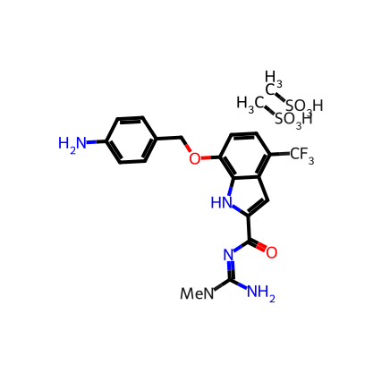 CNC(N)=NC(=O)c1cc2c(C(F)(F)F)ccc(OCc3ccc(N)cc3)c2[nH]1.CS(=O)(=O)O.CS(=O)(=O)O